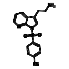 N#Cc1ccc(S(=O)(=O)n2cc(CCN)c3cccnc32)cc1